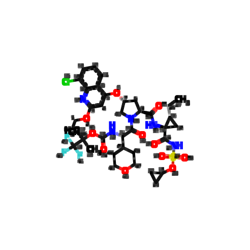 CCOc1cc(O[C@@H]2C[C@@H](C(=O)N[C@]3(C(=O)NS(=O)(=O)OC4CC4)C[C@H]3CC)N(C(=O)[C@@H](NC(=O)OC(C)(C)C(F)(F)F)C3CCOCC3)C2)c2cccc(Cl)c2n1